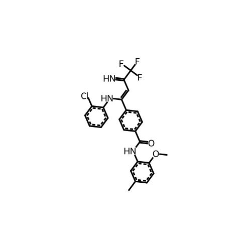 COc1ccc(C)cc1NC(=O)c1ccc(/C(=C/C(=N)C(F)(F)F)Nc2ccccc2Cl)cc1